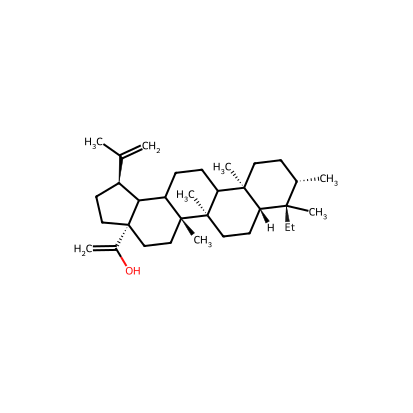 C=C(C)[C@@H]1CC[C@]2(C(=C)O)CC[C@]3(C)C(CCC4[C@@]5(C)CC[C@H](C)[C@@](C)(CC)[C@@H]5CC[C@]43C)C12